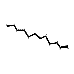 [CH2]CCCCCCC[CH]CC=C